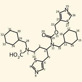 O=C(O)N(CCC(Cc1cncs1)N(CC1CCCCC1)C(=O)OCc1cncs1)CC1CCCCC1